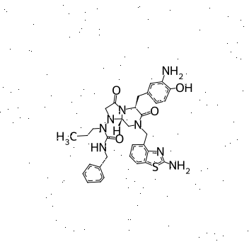 CCCN(C(=O)NCc1ccccc1)N1CC(=O)N2[C@@H](Cc3ccc(O)c(N)c3)C(=O)N(Cc3cccc4sc(N)nc34)C[C@@H]21